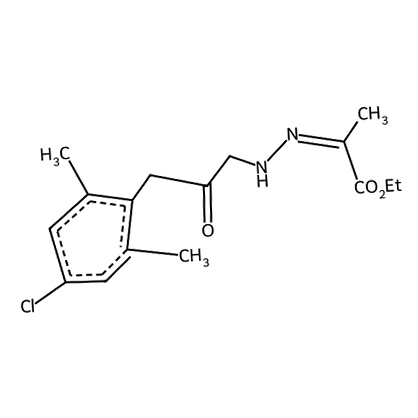 CCOC(=O)/C(C)=N\NCC(=O)Cc1c(C)cc(Cl)cc1C